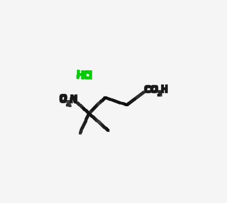 CC(C)(CCC(=O)O)[N+](=O)[O-].Cl